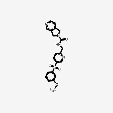 O=C(NCc1ccc(S(=O)(=O)c2cccc(OC(F)(F)F)c2)cn1)N1Cc2ccncc2C1